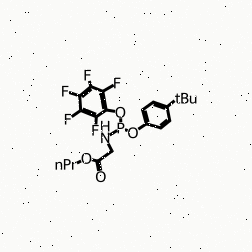 CCCOC(=O)CNP(Oc1ccc(C(C)(C)C)cc1)Oc1c(F)c(F)c(F)c(F)c1F